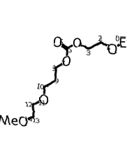 CCOCCOC(=O)OCCCOCCOC